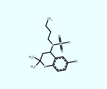 CCc1ccc2c(c1)C(N(CCCC(F)(F)F)S(=O)(=O)CC)CC(C)(C)O2